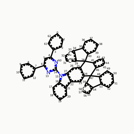 c1ccc(-c2cc(-c3ccccc3)nc(-n3c4ccccc4c4cc5c(cc43)C3(c4ccccc4-c4ccccc43)c3ccccc3C53c4ccccc4-c4ccccc43)n2)cc1